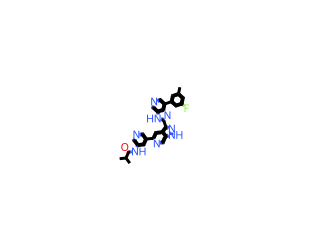 Cc1cc(F)cc(-c2cncc3[nH]c(-c4n[nH]c5cnc(-c6cncc(NC(=O)C(C)C)c6)cc45)nc23)c1